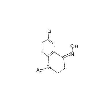 CC(=O)N1CC/C(=N/O)c2cc(Cl)ccc21